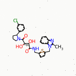 Cc1nc2ccccc2n1Cc1ccc(CNC(=O)[C@H](O)[C@@H](O)C(=O)N2CCCC2c2cccc(Cl)c2)s1